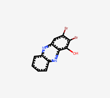 Oc1c(Br)c(Br)cc2nc3ccccc3nc12